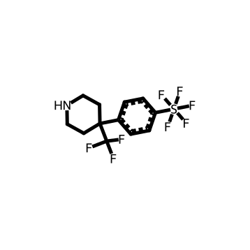 FC(F)(F)C1(c2ccc(S(F)(F)(F)(F)F)cc2)CCNCC1